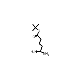 CC(C)(C)OC(=O)CCCC(N)N